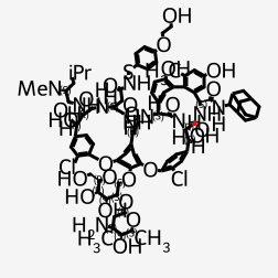 CN[C@@H](CC(C)C)C(=O)N[C@H]1C(=O)N[C@@H](CC(=O)NSc2ccc(OCCO)cc2)C(=O)N[C@H]2C(=O)N[C@@H]3C(=O)N[C@@H](C(=O)N[C@H](C(=O)NC4C5CC6CC(C5)CC4C6)c4cc(O)cc(C)c4-c4cc3ccc4O)[C@@H](O)c3ccc(c(Cl)c3)Oc3cc2cc(c3O[C@@H]2O[C@H](CO)[C@H](O)[C@H](O)[C@@H]2O[C@H]2C[C@](C)(N)[C@H](O)[C@H](C)O2)Oc2ccc(cc2Cl)[C@H]1O